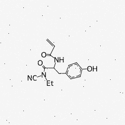 C=CC(=O)NC(Cc1ccc(O)cc1)C(=O)N(C#N)CC